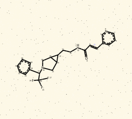 O=C(/C=C/c1cccnc1)NCCC1C2CN(C(c3ccccc3)C(F)(F)F)CC12